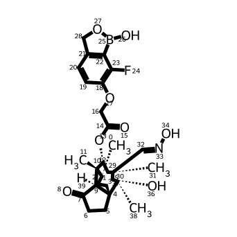 C[C@@H]1CC[C@@]23CCC(=O)[C@H]2[C@]1(C)[C@H](OC(=O)COc1ccc2c(c1F)B(O)OC2)C[C@@](C)(C=NO)[C@@H](O)[C@@H]3C